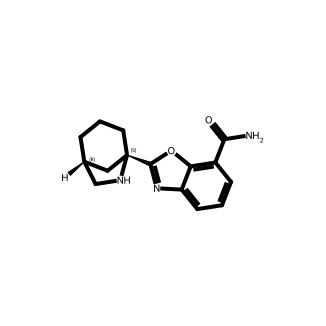 NC(=O)c1cccc2nc([C@@]34CCC[C@@H](CN3)C4)oc12